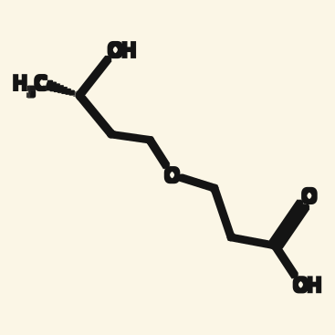 C[C@H](O)CCOCCC(=O)O